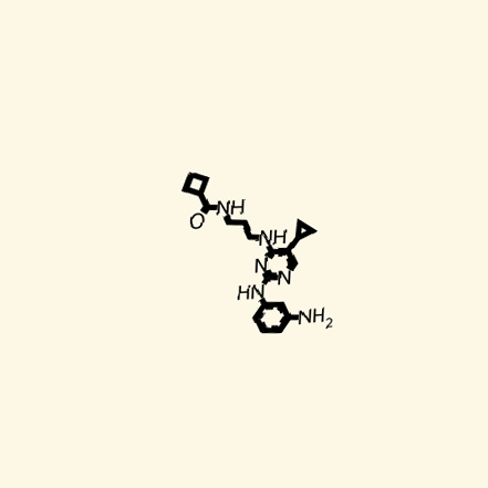 Nc1cccc(Nc2ncc(C3CC3)c(NCCCNC(=O)C3CCC3)n2)c1